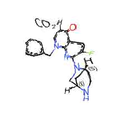 O=C(O)c1cn(Cc2ccccc2)c2nc(N3C[C@@H]4C[C@H]3CN4)c(F)cc2c1=O